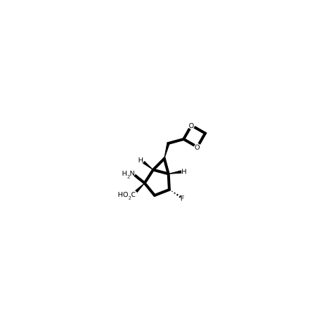 N[C@@]1(C(=O)O)C[C@@H](F)[C@H]2[C@H](CC3OCO3)[C@H]21